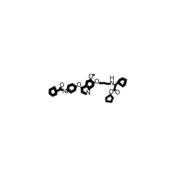 COc1cc2c(Oc3ccc(NC(=O)c4ccccc4)cc3)ccnc2cc1OCCCN[C@H](C(=O)OC1CCCC1)c1ccccc1